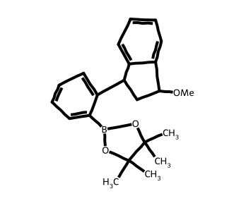 COC1CC(c2ccccc2B2OC(C)(C)C(C)(C)O2)c2ccccc21